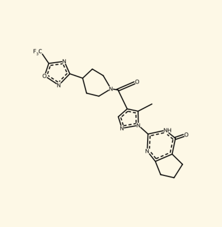 Cc1c(C(=O)N2CCC(c3noc(C(F)(F)F)n3)CC2)cnn1-c1nc2c(c(=O)[nH]1)CCC2